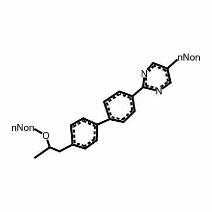 CCCCCCCCCOC(C)Cc1ccc(-c2ccc(-c3ncc(CCCCCCCCC)cn3)cc2)cc1